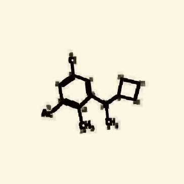 CC(=O)c1cc(Cl)cc(N(C)C2CCC2)c1C